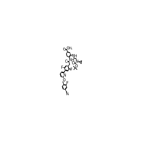 CC(C)(C)OC(=O)N(CCNc1cc(C(=O)O)ccc1NC(=O)Cc1cc(F)c(-c2cccc(OCc3ccc(C#N)cc3F)n2)cc1F)C1CC1